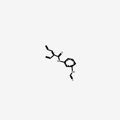 C=C/C=C(\C=C)C(=O)Nc1cccc(NC=S)c1